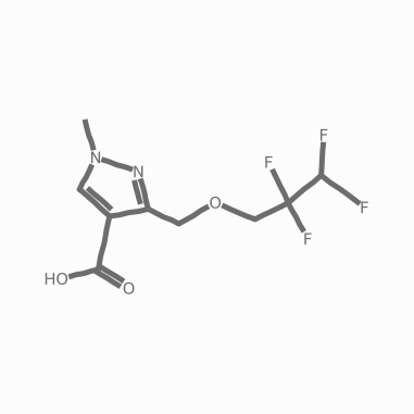 Cn1cc(C(=O)O)c(COCC(F)(F)C(F)F)n1